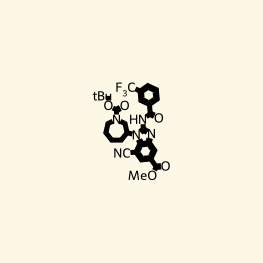 COC(=O)c1cc(C#N)c2c(c1)nc(NC(=O)c1cccc(C(F)(F)F)c1)n2C1CCCCN(C(=O)OC(C)(C)C)C1